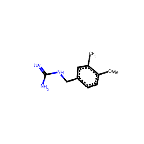 COc1ccc(CNC(=N)N)cc1C(F)(F)F